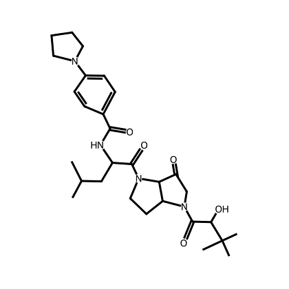 CC(C)CC(NC(=O)c1ccc(N2CCCC2)cc1)C(=O)N1CCC2C1C(=O)CN2C(=O)C(O)C(C)(C)C